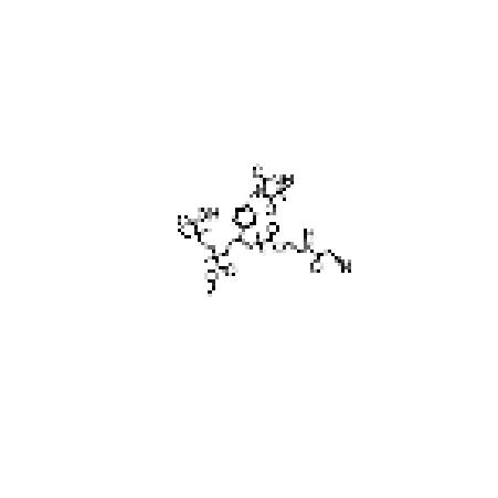 CCOC(=O)C(C)(CCC(CC(C)(C)C(=O)OCCNC(=O)CC#N)c1ccc(CN2C(=O)NC(C)(C)C2=O)cc1)CCC(C)(CC)C(=O)O